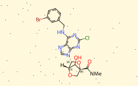 CNC(=O)[C@@]12CO[C@@H](C1O)[C@H](n1cnc3c(NCc4cccc(Br)c4)nc(Cl)nc31)O2